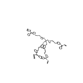 C=CC(=O)OCCOCC(COCCOC(=O)C=C)(COCCOC(=O)C=C)COCCOC(=O)CC